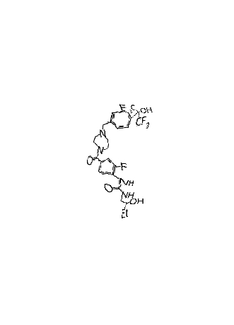 CCC(O)CNC(=O)Nc1ccc(C(=O)N2CCN(Cc3ccc(C(O)(C(F)(F)F)C(F)(F)F)cc3)CC2)cc1F